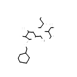 C[C@H](O)C(CO)O[C@H](O[C@@H]1C(CO)O[C@@H](OCC2CCCCC2)C(O)C1O)[C@@H](O)CO